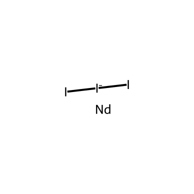 I[I-]I.[Nd]